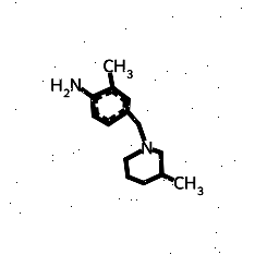 Cc1cc(CN2CCCC(C)C2)ccc1N